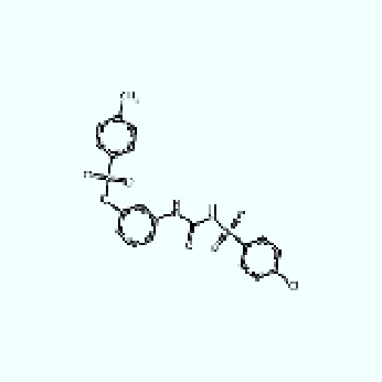 Cc1ccc(S(=O)(=O)Oc2cccc(NC(=O)NS(=O)(=O)c3ccc(Cl)cc3)c2)cc1